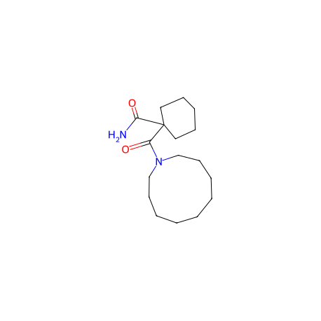 NC(=O)C1(C(=O)N2CCCCCCCCC2)CCCCC1